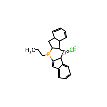 CCCP1C2=Cc3ccccc3[CH]2[Zr+2][CH]2C3C=CC=CC3CC21.[Cl-].[Cl-]